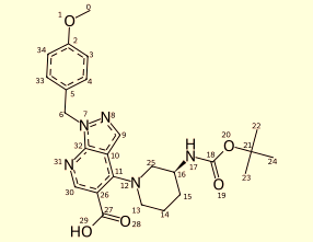 COc1ccc(Cn2ncc3c(N4CCC[C@H](NC(=O)OC(C)(C)C)C4)c(C(=O)O)cnc32)cc1